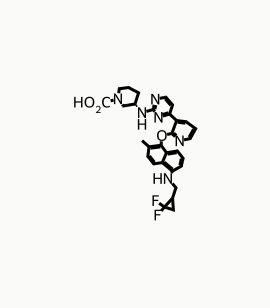 Cc1ccc2c(NCC3CC3(F)F)cccc2c1Oc1ncccc1-c1ccnc(N[C@H]2CCCN(C(=O)O)C2)n1